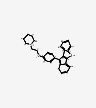 C1=CCC2=C(c3ccc(OCCN4CCCCC4)cc3)c3c(sc4ccccc34)C2=C1